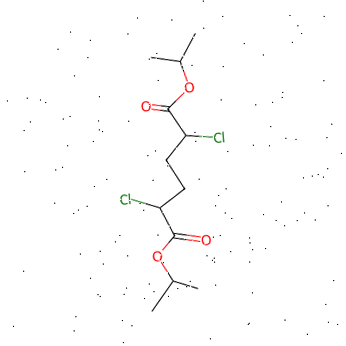 CC(C)OC(=O)C(Cl)CCC(Cl)C(=O)OC(C)C